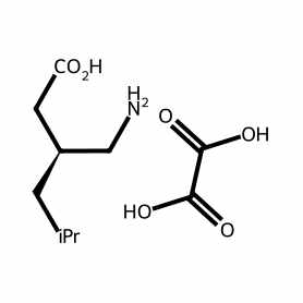 CC(C)C[C@H](CN)CC(=O)O.O=C(O)C(=O)O